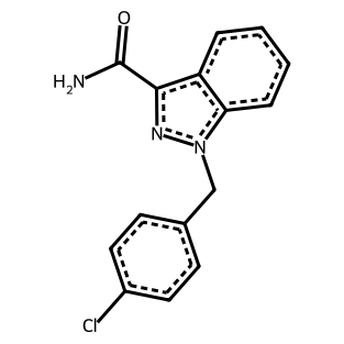 NC(=O)c1nn(Cc2ccc(Cl)cc2)c2ccccc12